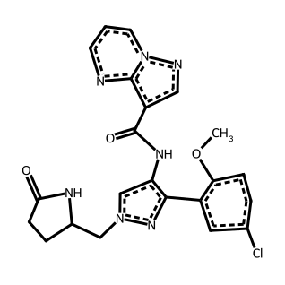 COc1ccc(Cl)cc1-c1nn(CC2CCC(=O)N2)cc1NC(=O)c1cnn2cccnc12